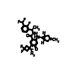 C[C@@H](NC(=O)c1cn(C2(C)CC(F)(F)C2)c(=O)cc1N[C@H]1[C@@H]2CN(C)C[C@@H]21)c1cccc(C(F)F)c1F